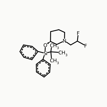 CC(C)(C)[Si](O[C@H]1CCCN(CC(F)F)C1)(c1ccccc1)c1ccccc1